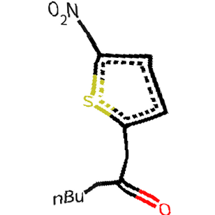 CCCCC(=O)c1ccc([N+](=O)[O-])s1